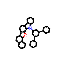 c1ccc(-c2cc(-c3ccccc3)cc(-n3c4ccccc4c4ccc5c6ccc7ccccc7c6oc5c43)c2)cc1